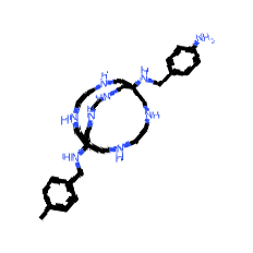 Cc1ccc(CNC23CNCCNCC(NCc4ccc(N)cc4)(CNCCNC2)CNCCNC3)cc1